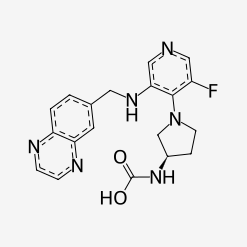 O=C(O)N[C@@H]1CCN(c2c(F)cncc2NCc2ccc3nccnc3c2)C1